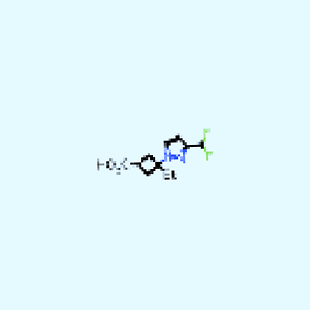 CCC1(n2ccc(C(F)F)n2)CC(C(=O)O)C1